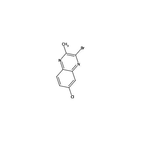 Cc1nc2ccc(Cl)cc2nc1Br